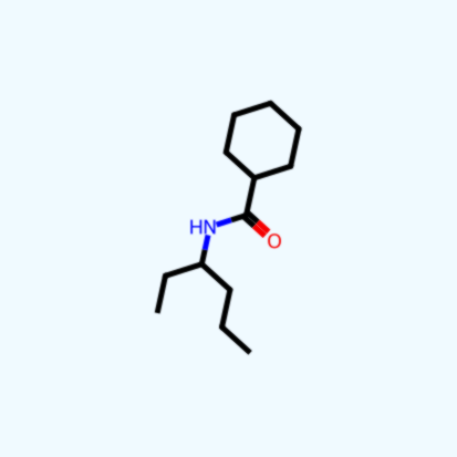 CCCC(CC)NC(=O)C1CCCCC1